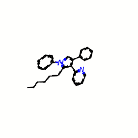 CCCCCCc1c(-c2ccccn2)c(-c2ccccc2)cn1-c1ccccc1